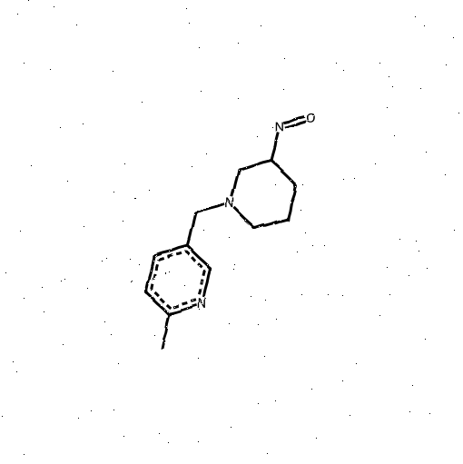 Cc1ccc(CN2CCCC(N=O)C2)cn1